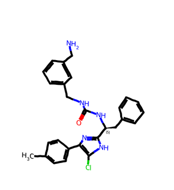 Cc1ccc(-c2nc([C@H](Cc3ccccc3)NC(=O)NCc3cccc(CN)c3)[nH]c2Cl)cc1